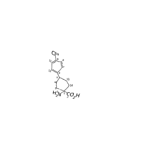 NC1(C(=O)O)CCC(c2ccc(Cl)cc2)CC1